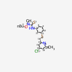 CCCCON(C)C(=S)Nc1cccc(SCc2cc(Cl)cc(C)n2)c1